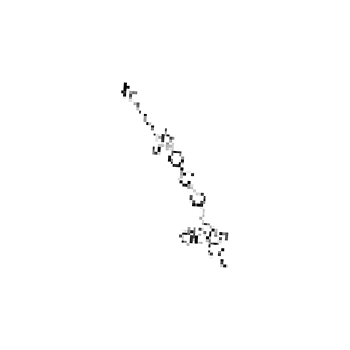 CC1(CCCCCCCn2ncn(-c3ccc(N4CCN(c5ccc(OC[C@@H]6CO[C@@](Cn7cncn7)(c7ccc(Cl)cc7Cl)O6)cc5)CC4)cc3)c2=O)N=N1